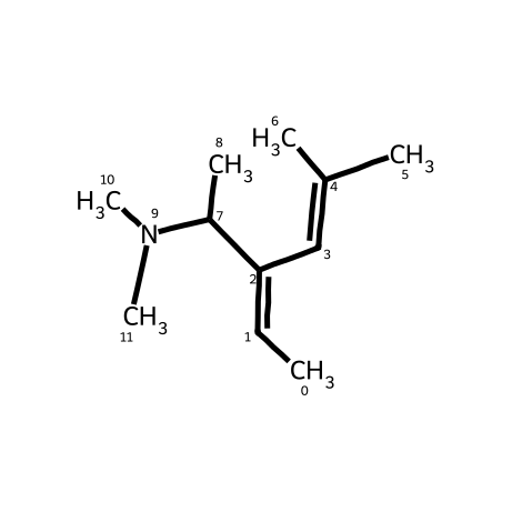 C/C=C(\C=C(C)C)C(C)N(C)C